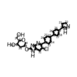 OC[C@H]1OC[C@H](Oc2nc3nc(-c4ccc(-c5ccc(-c6ccn[nH]6)cc5)cc4)c(Cl)cc3[nH]2)C[C@@H]1O